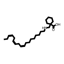 CC/C=C\C/C=C\C/C=C\CCCCCCCCNCC1(C(=O)O)CCCCC1